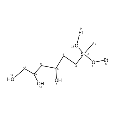 CCO[Si](C)(CCC(O)CC(O)CO)OCC